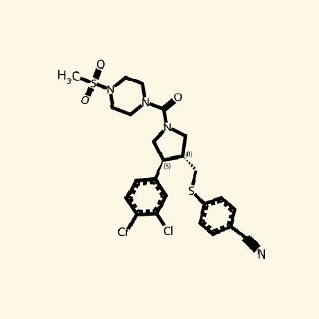 CS(=O)(=O)N1CCN(C(=O)N2C[C@H](CSc3ccc(C#N)cc3)[C@@H](c3ccc(Cl)c(Cl)c3)C2)CC1